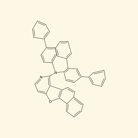 c1ccc(-c2ccc(N(c3ccc(-c4ccccc4)cc3-c3ccccc3)c3nccc4oc5c6ccccc6ccc5c34)cc2)cc1